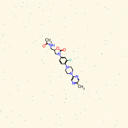 CC(=O)NCC1CN(c2ccc(N3CCN(c4cnc(C)cn4)CC3)c(F)c2)C(=O)O1